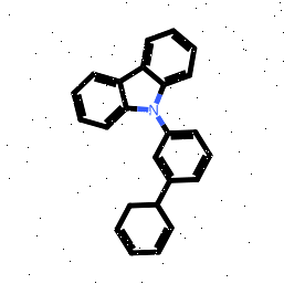 C1=CCC(c2cccc(-n3c4ccccc4c4ccccc43)c2)C=C1